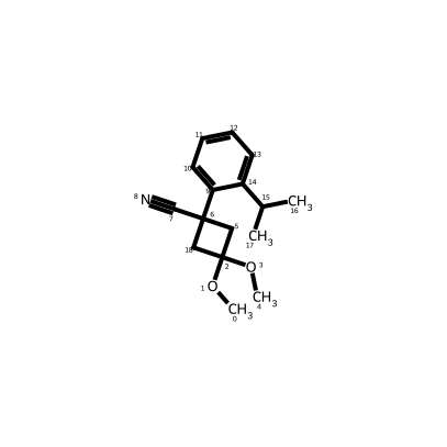 COC1(OC)CC(C#N)(c2ccccc2C(C)C)C1